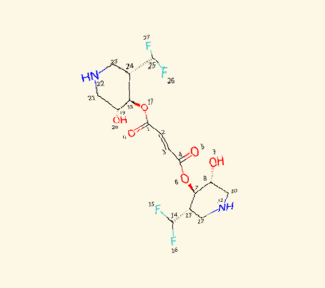 O=C(/C=C/C(=O)O[C@H]1[C@H](O)CNC[C@@H]1C(F)F)O[C@H]1[C@H](O)CNC[C@@H]1C(F)F